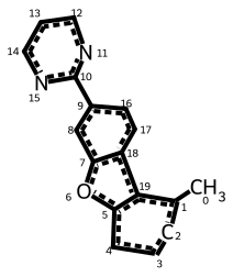 Cc1cccc2oc3cc(-c4ncccn4)ccc3c12